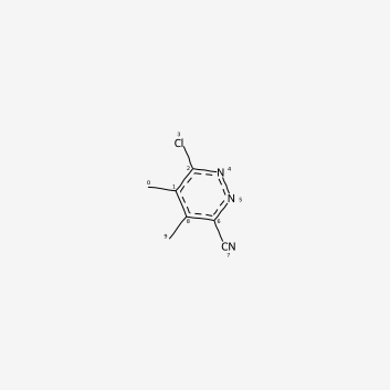 Cc1c(Cl)nnc(C#N)c1C